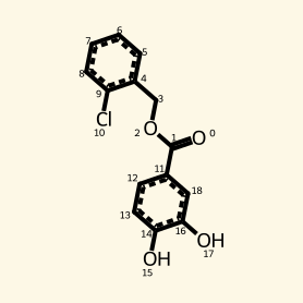 O=C(OCc1ccccc1Cl)c1ccc(O)c(O)c1